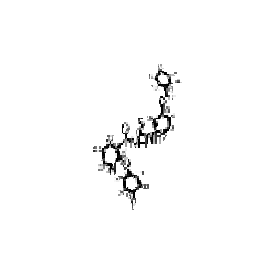 O=C(NC(=S)Nc1cccc(OCc2ccccc2)c1)c1cccnc1Oc1ccc(F)cc1